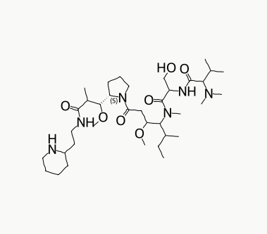 CCC(C)C(C(CC(=O)N1CCC[C@H]1C(OC)C(C)C(=O)NCCC1CCCCN1)OC)N(C)C(=O)C(CO)NC(=O)C(C(C)C)N(C)C